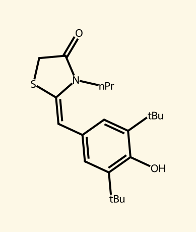 CCCN1C(=O)CSC1=Cc1cc(C(C)(C)C)c(O)c(C(C)(C)C)c1